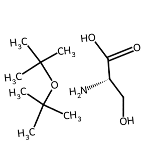 CC(C)(C)OC(C)(C)C.N[C@@H](CO)C(=O)O